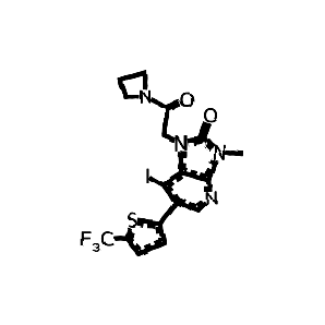 Cn1c(=O)n(CC(=O)N2CCC2)c2c(I)c(-c3ccc(C(F)(F)F)s3)cnc21